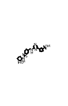 CC(C)(O)c1cccc(-c2cncc(NCc3ccc4nc(NC5CCCC[C@H]5O)sc4c3)n2)c1